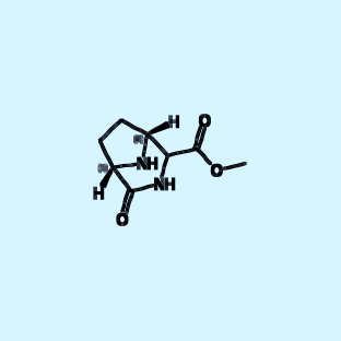 COC(=O)C1NC(=O)[C@@H]2CC[C@H]1N2